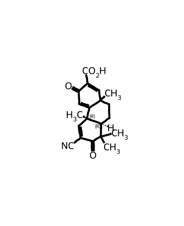 CC12C=C(C(=O)O)C(=O)C=C1[C@@]1(C)C=C(C#N)C(=O)C(C)(C)[C@@H]1CC2